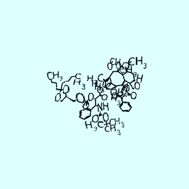 CCCCC1(CCCC)OC[C@H](COC(=O)O[C@@H](C(=O)O[C@H]2CC3(O)[C@@H](OC(=O)c4ccccc4)[C@@H]4[C@]5(OC(C)=O)CO[C@@H]5C[C@H](OC)[C@@]4(C)C(=O)[C@H](OC)C(=C2C)C3(C)C)[C@@H](NC(=O)OC(C)(C)C)c2ccccc2)O1